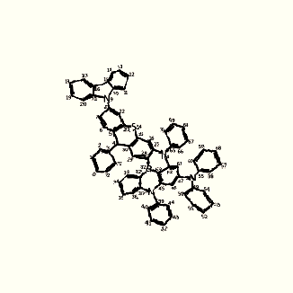 c1ccc(C2c3ccc(-n4c5ccccc5c5ccccc54)cc3Sc3cc4c(cc32)B2c3ccccc3N(c3ccccc3)c3cc(N(c5ccccc5)c5ccccc5)cc(c32)N4c2ccccc2)cc1